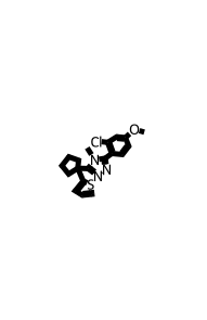 COc1ccc(-c2nnc(C3(c4cccs4)CCCC3)n2C)c(Cl)c1